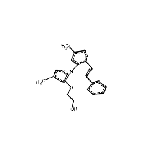 Cc1cccc(OCCO)c1.Nc1ccc(C=Cc2ccccc2)c(N)c1